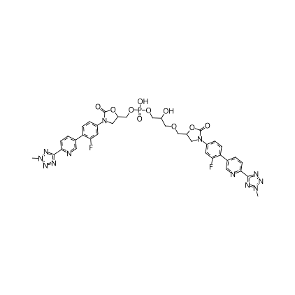 Cn1nnc(-c2ccc(-c3ccc(N4CC(COCC(O)COP(=O)(O)OCC5CN(c6ccc(-c7ccc(-c8nnn(C)n8)nc7)c(F)c6)C(=O)O5)OC4=O)cc3F)cn2)n1